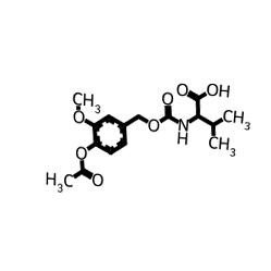 COc1cc(COC(=O)NC(C(=O)O)C(C)C)ccc1OC(C)=O